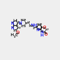 COc1cnc2nccc(N3CCC(CCNCc4ccc5c(n4)NC(=O)CO5)CC3)c2c1